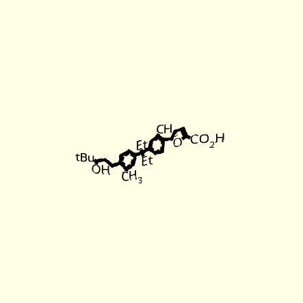 CCC(CC)(c1ccc(CCC(O)C(C)(C)C)c(C)c1)c1ccc(C2CC=C(C(=O)O)O2)c(C)c1